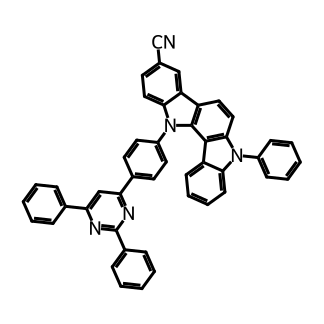 N#Cc1ccc2c(c1)c1ccc3c(c4ccccc4n3-c3ccccc3)c1n2-c1ccc(-c2cc(-c3ccccc3)nc(-c3ccccc3)n2)cc1